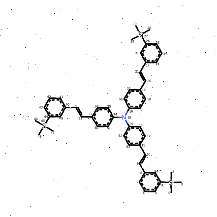 C[Si](C)(C)c1cccc(/C=C/c2ccc(N(c3ccc(/C=C/c4cccc([Si](C)(C)C)c4)cc3)c3ccc(/C=C/c4cccc([Si](C)(C)C)c4)cc3)cc2)c1